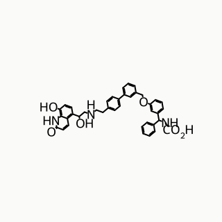 O=C(O)NC(c1ccccc1)c1cccc(OCc2cccc(-c3ccc(CCNCC(O)c4ccc(O)c5[nH]c(=O)ccc45)cc3)c2)c1